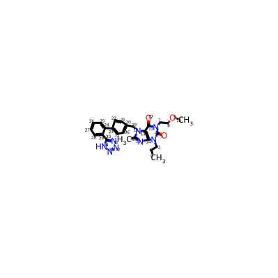 CCCn1c(=O)n(CCOC)c(=O)c2c1nc(C)n2Cc1ccc(-c2ccccc2-c2nnn[nH]2)cc1